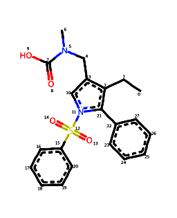 CCc1c(CN(C)C(=O)O)cn(S(=O)(=O)c2ccccc2)c1-c1ccccc1